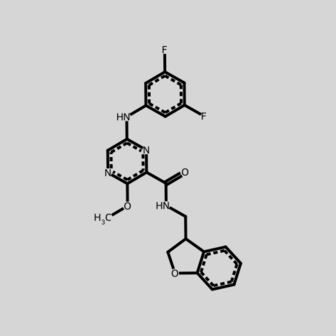 COc1ncc(Nc2cc(F)cc(F)c2)nc1C(=O)NCC1COc2ccccc21